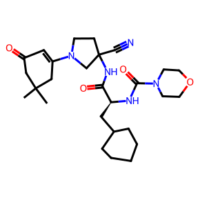 CC1(C)CC(=O)C=C(N2CCC(C#N)(NC(=O)[C@H](CC3CCCCC3)NC(=O)N3CCOCC3)C2)C1